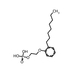 CCCCCCCCc1ccccc1OCCOP(=O)(O)O